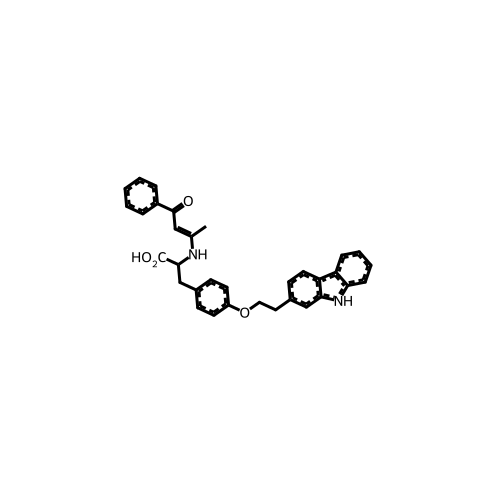 CC(=CC(=O)c1ccccc1)NC(Cc1ccc(OCCc2ccc3c(c2)[nH]c2ccccc23)cc1)C(=O)O